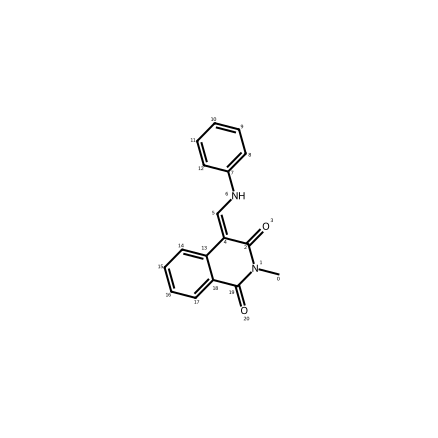 CN1C(=O)C(=CNc2ccccc2)c2ccccc2C1=O